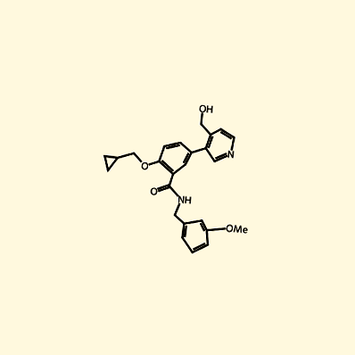 COc1cccc(CNC(=O)c2cc(-c3cnccc3CO)ccc2OCC2CC2)c1